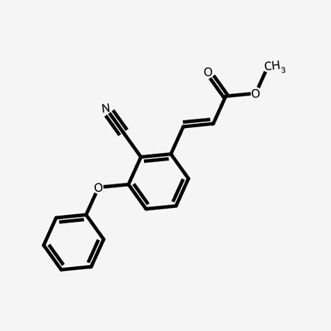 COC(=O)/C=C/c1cccc(Oc2ccccc2)c1C#N